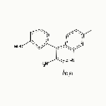 CCOC(=O)c1nc2cc(C)ccc2c(-c2cccc(OC)c2C)c1N